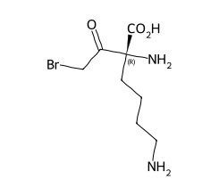 NCCCC[C@](N)(C(=O)O)C(=O)CBr